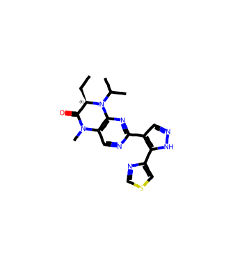 CC[C@@H]1C(=O)N(C)c2cnc(-c3cn[nH]c3-c3cscn3)nc2N1C(C)C